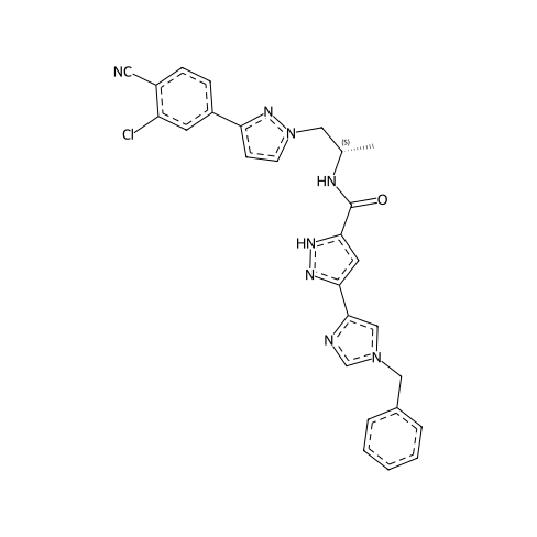 C[C@@H](Cn1ccc(-c2ccc(C#N)c(Cl)c2)n1)NC(=O)c1cc(-c2cn(Cc3ccccc3)cn2)n[nH]1